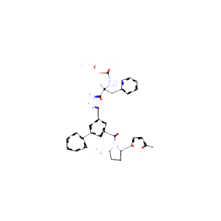 Cc1ccc(C2CCCN2C(=O)c2cc(-c3nnc(C(C)(Cc4ccccc4)NC(=O)OC(C)(C)C)o3)cc(-c3ccccc3C#N)c2)o1